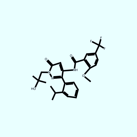 COc1ccc(C(F)(F)F)cc1C(=O)Nc1cc(=O)n(CC(C)(C)O)nc1-c1ccccc1C(C)C